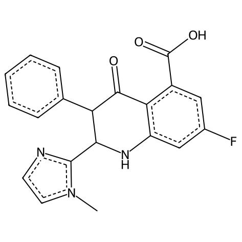 Cn1ccnc1C1Nc2cc(F)cc(C(=O)O)c2C(=O)C1c1ccccc1